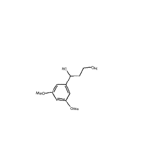 COc1cc(OC)cc(C(O)CCO)c1